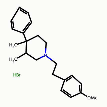 Br.COc1ccc(CCN2CCC(C)(c3ccccc3)C(C)C2)cc1